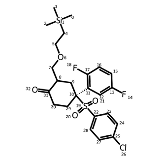 C[Si](C)(C)CCOCC1C[C@@](c2cc(F)ccc2F)(S(=O)(=O)c2ccc(Cl)cc2)CCC1=O